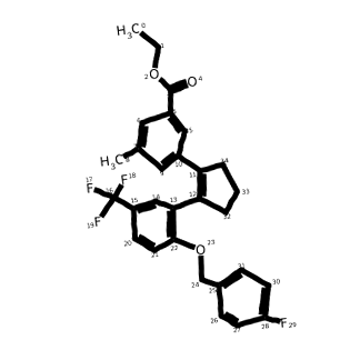 CCOC(=O)c1cc(C)cc(C2=C(c3cc(C(F)(F)F)ccc3OCc3ccc(F)cc3)CCC2)c1